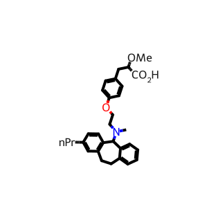 CCCc1ccc2c(c1)CCc1ccccc1C2N(C)CCOc1ccc(CC(OC)C(=O)O)cc1